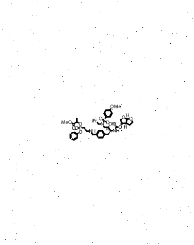 COC(=O)C(C)OP(=O)(CCNCc1ccc(C[C@H](NC(=O)O[C@H]2CO[C@H]3OCC[C@H]32)[C@H](O)CN(CC(C)C)S(=O)(=O)c2ccc(OC)cc2)cc1)Oc1ccccc1